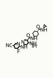 CC(C)Nc1cc(Nc2ncc(C#N)cc2F)ncc1C(=O)N[C@H]1CC[C@H](C(=O)NC2CC2)CC1